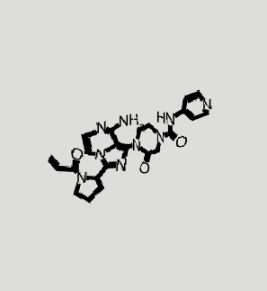 C=CC(=O)N1CCCC1c1nc(N2CCN(C(=O)Nc3ccncc3)CC2=O)c2c(N)nccn12